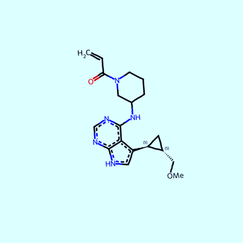 C=CC(=O)N1CCCC(Nc2ncnc3[nH]cc([C@H]4C[C@@H]4COC)c23)C1